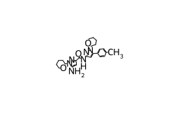 Cc1ccc(-c2cc(NC(=O)c3cc(N)n(C4CCCCO4)n3)nn2C2CCCCO2)cc1